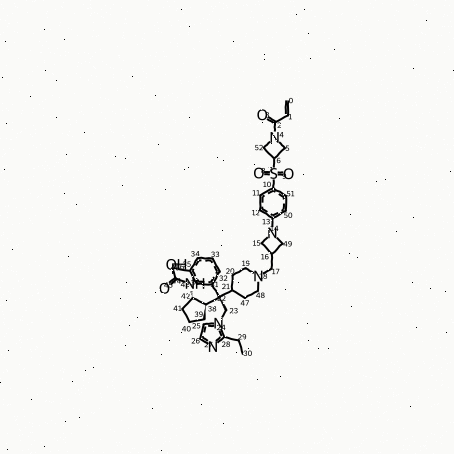 C=CC(=O)N1CC(S(=O)(=O)c2ccc(N3CC(CN4CCC([C@@](Cn5ccnc5CC)(c5cccc(F)c5)[C@H]5CCC[C@@H]5NC(=O)O)CC4)C3)cc2)C1